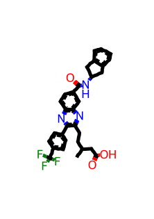 CC(CCc1nc2cc(C(=O)NC3Cc4ccccc4C3)ccc2nc1-c1ccc(C(F)(F)F)cc1)CC(=O)O